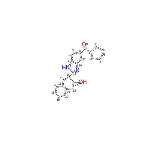 O=C(c1ccccc1)c1ccc2[nH]c(-c3cc4ccccc4cc3O)nc2c1